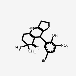 CC1(C)CCC2=C(C1=O)C(c1cc(Br)cc([N+](=O)[O-])c1O)C1=C(CCS1)N2